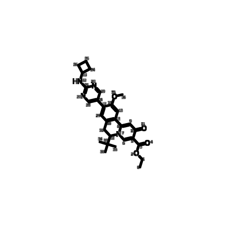 CCOC(=O)c1cn2c(cc1=O)-c1cc(OC)c(-c3cnc(NC4CCC4)nc3)cc1CC2C(C)(C)C